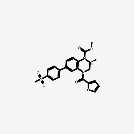 COC(=O)N1c2ccc(-c3ccc(S(C)(=O)=O)cc3)cc2N(C(=O)c2ccco2)C[C@@H]1C